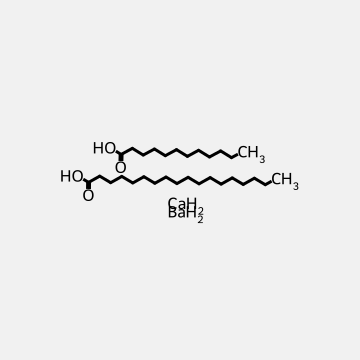 CCCCCCCCCCCC(=O)O.CCCCCCCCCCCCCCCCCC(=O)O.[BaH2].[CaH2]